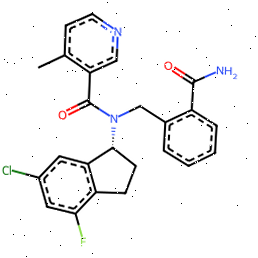 Cc1ccncc1C(=O)N(Cc1ccccc1C(N)=O)[C@@H]1CCc2c(F)cc(Cl)cc21